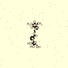 Cn1c(=O)c2c(ncn2CCOC(=O)C2=CC=CN([C@@H]3O[C@H](CO)[C@@H](O)[C@H]3O)C2)n(C)c1=O